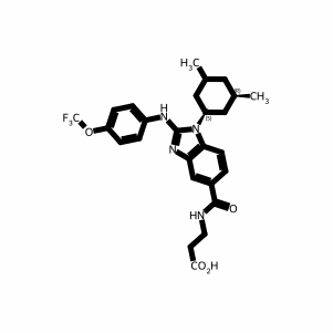 CC1C[C@@H](C)C[C@@H](n2c(Nc3ccc(OC(F)(F)F)cc3)nc3cc(C(=O)NCCC(=O)O)ccc32)C1